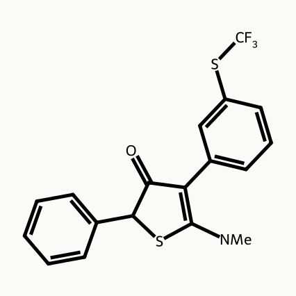 CNC1=C(c2cccc(SC(F)(F)F)c2)C(=O)C(c2ccccc2)S1